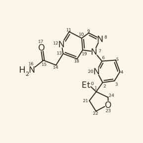 CCC1(c2cccc(-n3ncc4cnc(CC(N)=O)cc43)n2)CCOC1